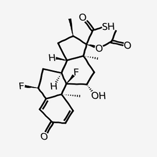 CC(=O)O[C@]1(C(=O)S)[C@H](C)C[C@H]2[C@@H]3C[C@H](F)C4=CC(=O)C=C[C@]4(C)[C@@]3(F)[C@@H](O)C[C@@]21C